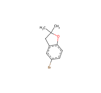 CC1(C)Cc2cc(Br)ccc2O1